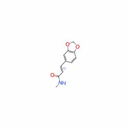 CNC(=O)/C=C/c1ccc2c(c1)OCO2